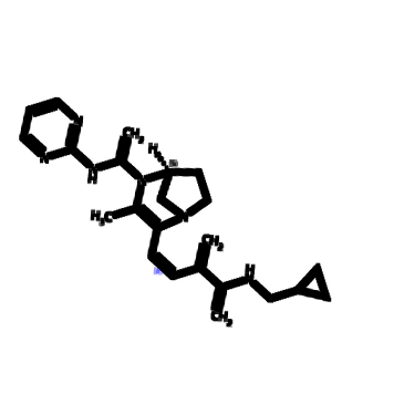 C=C(/C=C\C1=C(C)N(C(=C)Nc2ncccn2)[C@H]2CCN1C2)C(=C)NCC1CC1